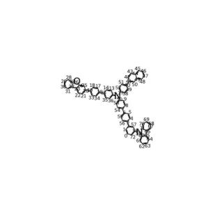 c1cc(-c2ccc(-c3ccc(N(c4ccc(-c5ccc(-c6ccc7c(c6)oc6ccccc67)cc5)cc4)c4ccc(-c5ccc6ccccc6c5)cc4)cc3)cc2)cc(-n2c3ccccc3c3ccccc32)c1